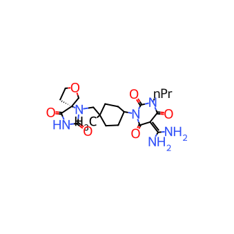 CCCN1C(=O)C(=C(N)N)C(=O)N(C2CCC(C)(CN3C(=O)NC(=O)[C@]34CCOC4)CC2)C1=O